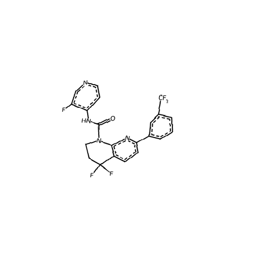 O=C(Nc1ccncc1F)N1CCC(F)(F)c2ccc(-c3cccc(C(F)(F)F)c3)nc21